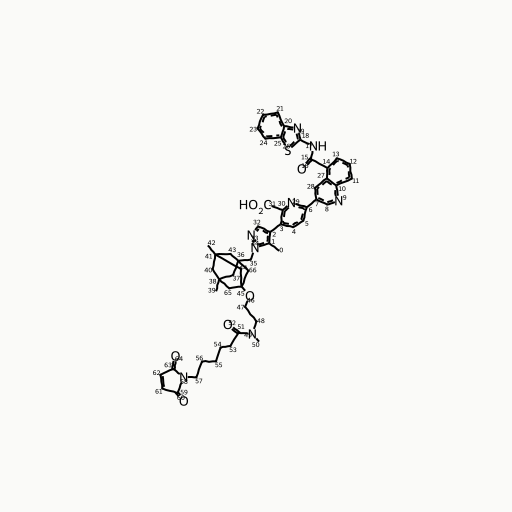 Cc1c(-c2ccc(-c3cnc4cccc(C(=O)Nc5nc6ccccc6s5)c4c3)nc2C(=O)O)cnn1CC12CC3(C)CC(C)(C1)CC(OCCN(C)C(=O)CCCCCN1C(=O)C=CC1=O)(C3)C2